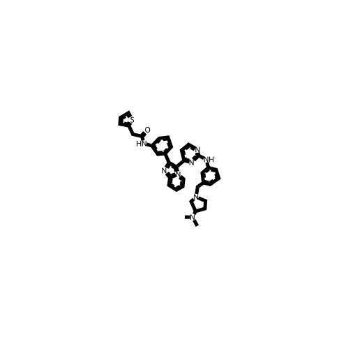 CN(C)C1CCN(Cc2cccc(Nc3nccc(-c4c(-c5cccc(NC(=O)Cc6cccs6)c5)nc5ccccn45)n3)c2)C1